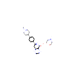 CC(=O)N1CCO[C@H](COc2nc(-c3ccc(C4CCN(CC=O)CC4)cc3)cc3nccnc23)C1